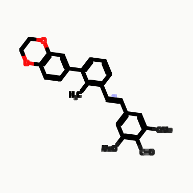 COc1cc(/C=C/c2cccc(-c3ccc4c(c3)OCCO4)c2C)cc(OC)c1C=O